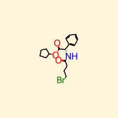 O=C(CCCBr)N[C@H](C(=O)OC1CCCC1)c1ccccc1